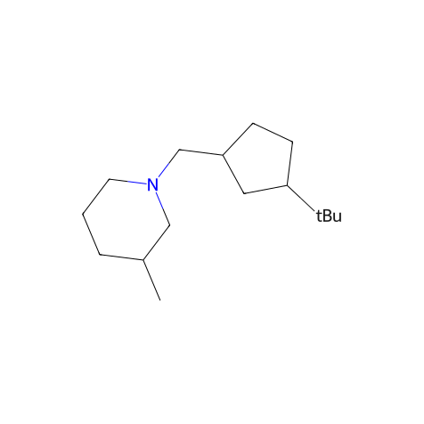 CC1CCCN(CC2CCC(C(C)(C)C)C2)C1